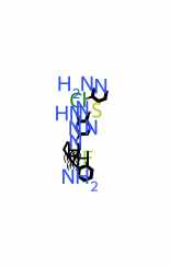 NC[C@]1(c2ccccc2F)[C@@H]2CCN(c3cnc4c(Sc5ccnc(N)c5Cl)n[nH]c4n3)C[C@@H]21